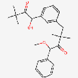 COC(C(=O)C(C)(C)Cc1cccc(C(O)C(=O)C(C)(C)C)c1)c1ccccc1